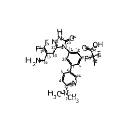 CN(C)c1ccc(-c2cccc(-n3c(CC(CN)=C(F)F)n[nH]c3=O)c2)cn1.O=C(O)C(F)(F)F